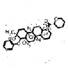 C[C@]12CC[C@H]3[C@@H](CC[C@@]4(C)C(Oc5ccccc5)[C@](C)(O)CC[C@]34C)[C@@H]1CCCN2C(=O)[C@H]1CCCCO1